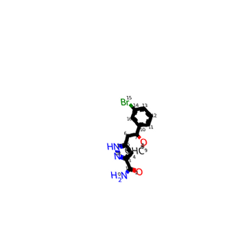 NC(=O)c1cc(CC(OC=O)c2cccc(Br)c2)[nH]n1